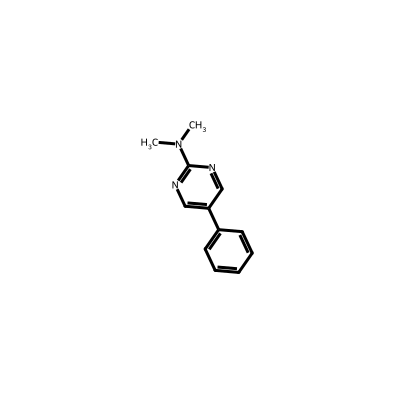 CN(C)c1ncc(-c2ccccc2)cn1